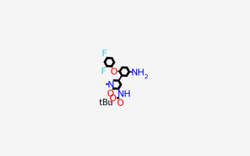 Cn1cc(-c2cc(N)ccc2Oc2ccc(F)cc2F)cc(NC(=O)OC(C)(C)C)c1=O